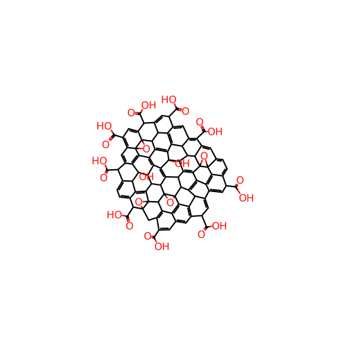 O=C(O)C1=C2C=C3C4=C5C6=C7C8=C9C%10C%11=C%12C%13=C%14C%15C(=CC(C(=O)O)c%16cc%17cc(C(=O)O)c%18c%19c%17c(c%16%15)C%15(OC%15%16C9C9C%15=C%17C(=CC=C(C3C(=O)O)C%17C4(O)C79)C(C(=O)O)C3(C%18)OC%153C%19%16)C%14%10)C3=CC(C(=O)O)C4=CC=C7C=C9C(C(=O)O)=C%10C=C%14C%15=C%16C(=C6C6C%15C(=CC%14C(=O)O)C(C(=O)O)C(=C1)C61OC251)C8(O)C%11C(C%10%16)C9C%121OC71C4=C3%13